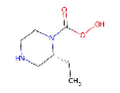 CC[C@@H]1CNCCN1C(=O)OO